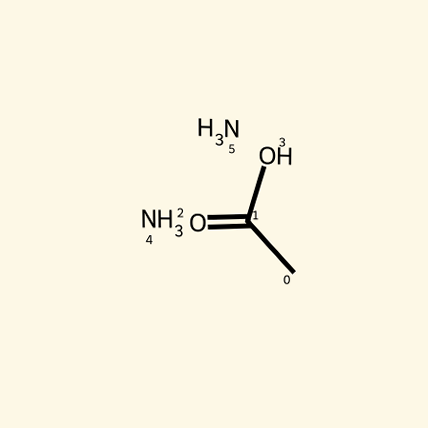 CC(=O)O.N.N